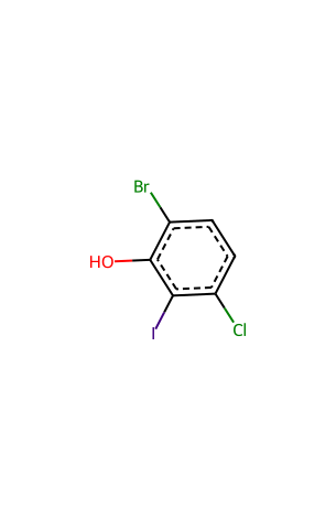 Oc1c(Br)ccc(Cl)c1I